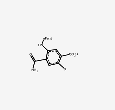 CCCCCNc1cc(C(=O)O)c(F)cc1C(N)=O